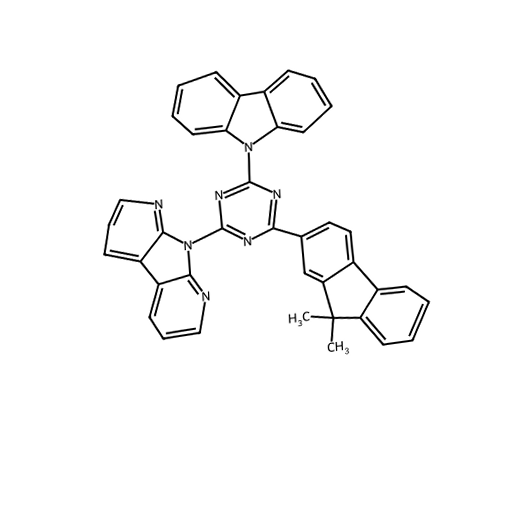 CC1(C)c2ccccc2-c2ccc(-c3nc(-n4c5ccccc5c5ccccc54)nc(-n4c5ncccc5c5cccnc54)n3)cc21